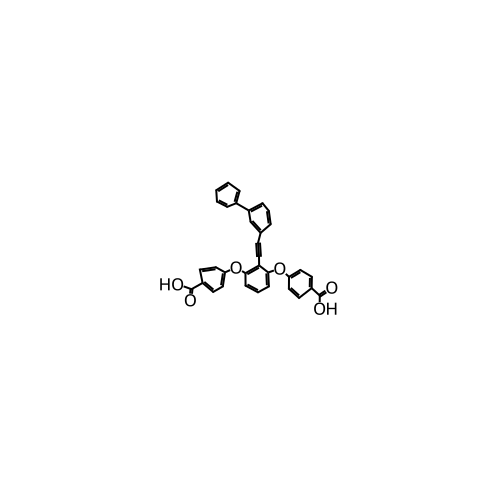 O=C(O)c1ccc(Oc2cccc(Oc3ccc(C(=O)O)cc3)c2C#Cc2cccc(-c3ccccc3)c2)cc1